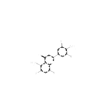 Nc1c(F)cc(-c2cc(=O)c3c(N)c(F)cc(F)c3o2)cc1F